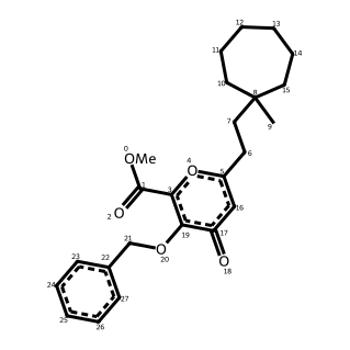 COC(=O)c1oc(CCC2(C)CCCCCC2)cc(=O)c1OCc1ccccc1